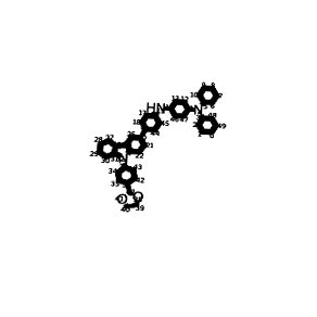 c1ccc(N(c2ccccc2)c2ccc(Nc3ccc(-c4ccc5c(c4)c4ccccc4n5-c4ccc(C5OCCO5)cc4)cc3)cc2)cc1